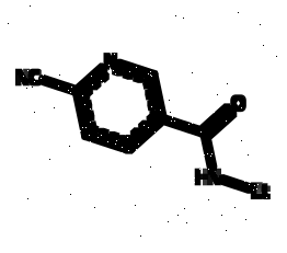 CCNC(=O)c1ccc(C#N)nc1